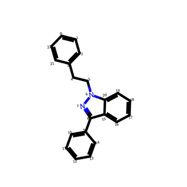 c1ccc(CCn2nc(-c3ccccc3)c3ccccc32)cc1